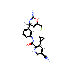 C[C@@]1(c2cccc(NC(=O)c3ncc(C#N)cc3C3CC3)c2)C=C(CF)OC(N)=N1